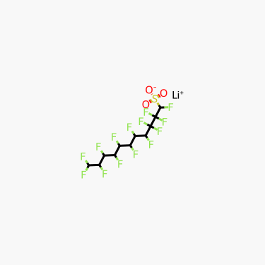 O=S(=O)([O-])C(F)C(F)(F)C(F)(F)C(F)C(F)C(F)C(F)C(F)C(F)C(F)C(F)F.[Li+]